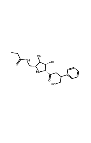 CCC(=O)NC[C@H]1N[C@@H](C(=O)CC(CO)c2ccccc2)[C@@H](O)[C@@H]1O